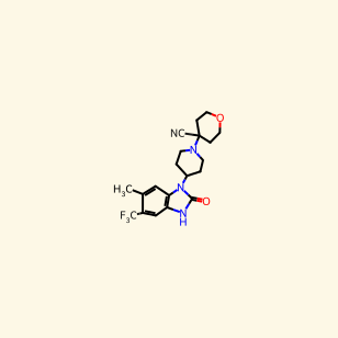 Cc1cc2c(cc1C(F)(F)F)[nH]c(=O)n2C1CCN(C2(C#N)CCOCC2)CC1